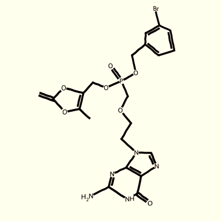 C=C1OC(C)=C(COP(=O)(COCCn2cnc3c(=O)[nH]c(N)nc32)OCc2cccc(Br)c2)O1